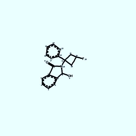 O=C1c2ccccc2C(O)N1C1(c2ncccn2)CC(F)C1